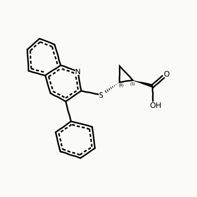 O=C(O)[C@@H]1C[C@H]1Sc1nc2ccccc2cc1-c1ccccc1